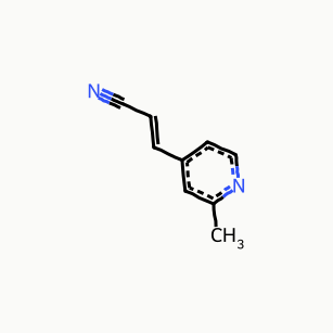 Cc1cc(C=CC#N)ccn1